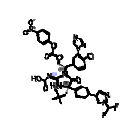 CC(C)(C)C[C@]1(c2ccc(-c3cnn(C(F)F)c3)cc2)N/C(=N\C(=O)O)N([C@H](COC(=O)Oc2ccc([N+](=O)[O-])cc2)c2ccc(Cl)c(-n3cncn3)c2)C1=O